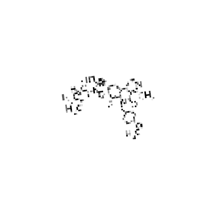 COc1ccc(Cn2c(=O)c3c(C)nccc3c3cc(Br)c(ON(C(=O)O)C(C)CC(C)C)c(F)c32)cc1